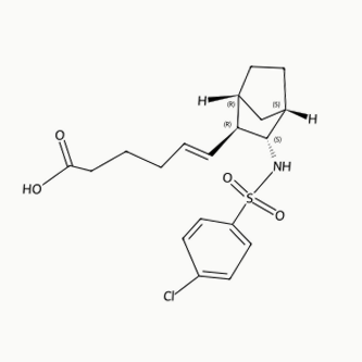 O=C(O)CCCC=C[C@H]1[C@@H]2CC[C@@H](C2)[C@@H]1NS(=O)(=O)c1ccc(Cl)cc1